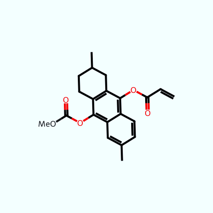 C=CC(=O)Oc1c2c(c(OC(=O)OC)c3cc(C)ccc13)CCC(C)C2